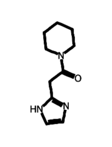 O=C(Cc1ncc[nH]1)N1CCCCC1